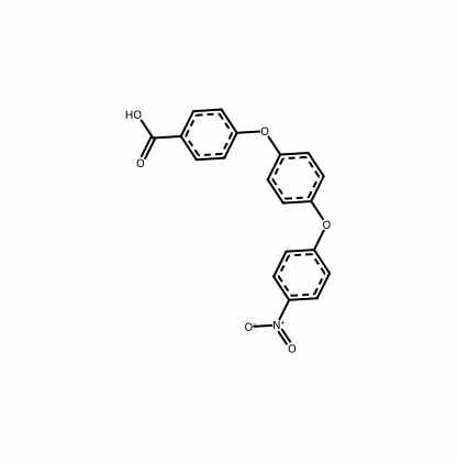 O=C(O)c1ccc(Oc2ccc(Oc3ccc([N+](=O)[O-])cc3)cc2)cc1